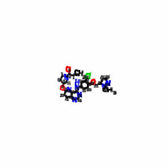 C=CC(=O)N1CC[C@H](Oc2ccc3ncnc(Nc4ccc(OCc5ccnn5C)c(Cl)c4)c3n2)C1